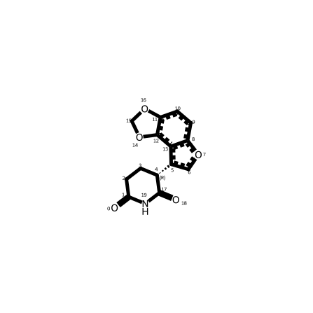 O=C1CC[C@H](c2coc3ccc4c(c23)OCO4)C(=O)N1